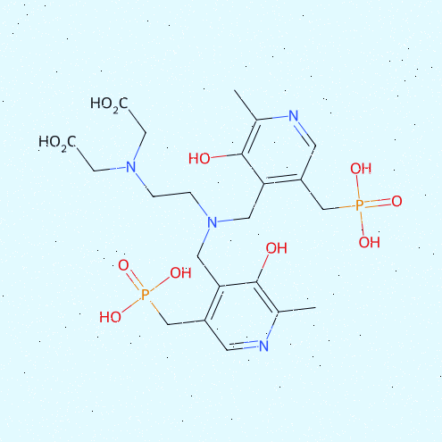 Cc1ncc(CP(=O)(O)O)c(CN(CCN(CC(=O)O)CC(=O)O)Cc2c(CP(=O)(O)O)cnc(C)c2O)c1O